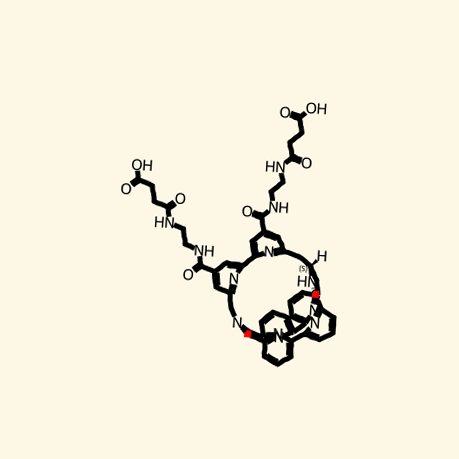 O=C(O)CCC(=O)NCCNC(=O)c1cc2nc(c1)-c1cc(C(=O)NCCNC(=O)CCC(=O)O)cc(n1)CN1Cc3cccc(n3)-c3cccc(n3)CN[C@@H](Cc3cccc(n3)-c3cccc(n3)C1)C2